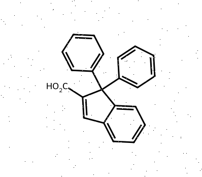 O=C(O)C1=Cc2ccccc2C1(c1ccccc1)c1ccccc1